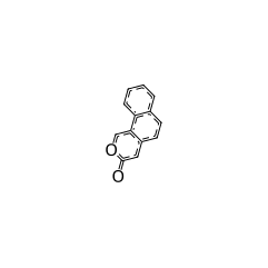 O=c1cc2ccc3ccccc3c2co1